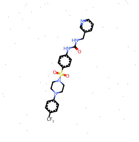 O=C(NCc1cccnc1)Nc1ccc(S(=O)(=O)N2CCN(c3ccc(C(F)(F)F)cc3)CC2)cc1